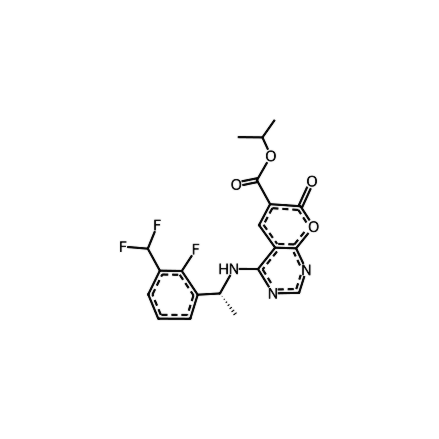 CC(C)OC(=O)c1cc2c(N[C@H](C)c3cccc(C(F)F)c3F)ncnc2oc1=O